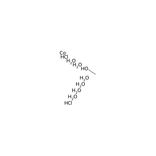 CO.Cl.Cl.O.O.O.O.O.O.[Co]